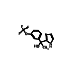 CC(O)(c1cccc(OC(F)(F)F)c1)c1ncc[nH]1